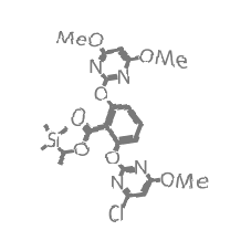 COc1cc(Cl)nc(Oc2cccc(Oc3nc(OC)cc(OC)n3)c2C(=O)OC(C)[Si](C)(C)C)n1